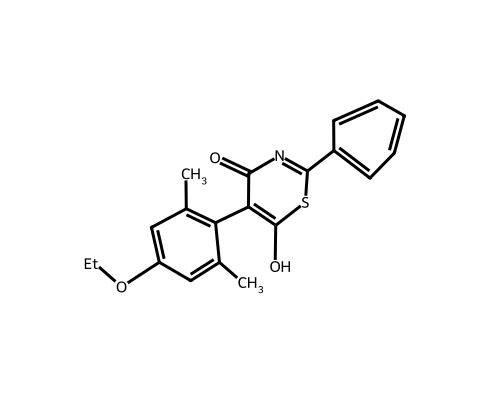 CCOc1cc(C)c(-c2c(O)sc(-c3ccccc3)nc2=O)c(C)c1